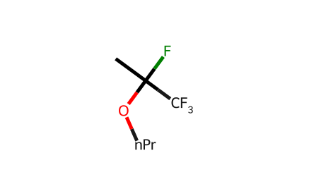 CCCOC(C)(F)C(F)(F)F